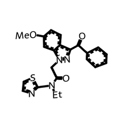 CCN(C(=O)Cn1nc(C(=O)c2ccccc2)c2ccc(OC)cc21)c1nccs1